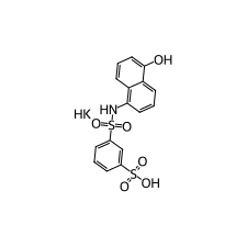 O=S(=O)(O)c1cccc(S(=O)(=O)Nc2cccc3c(O)cccc23)c1.[KH]